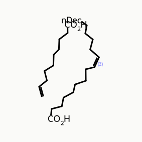 C=CCCCCCCCC(=O)O.CCCCCCCCCCCCCC/C=C\CCCCCCCC(=O)O